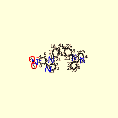 O=[N+]([O-])c1ccc2c(c1)c1ncccc1n2-c1ccc2c(c1)-c1cc(-n3c4ccccc4c4ncccc43)ccc1C2